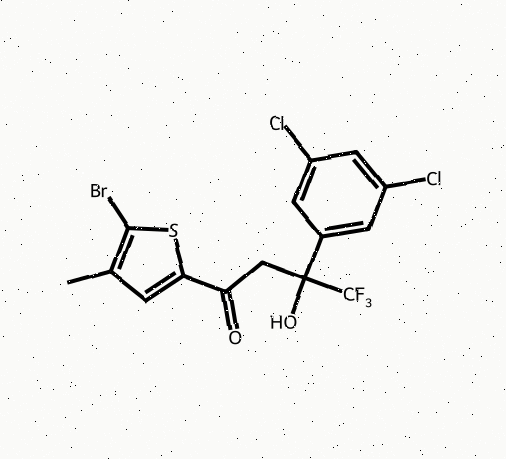 Cc1cc(C(=O)CC(O)(c2cc(Cl)cc(Cl)c2)C(F)(F)F)sc1Br